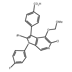 COCOc1c(Cl)ncc2c1c(-c1ccc(C(=O)O)cc1)c(C(C)C)n2-c1ccc(F)cc1